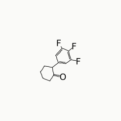 O=C1CCCCC1c1cc(F)c(F)c(F)c1